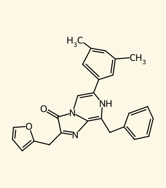 Cc1cc(C)cc(-c2cn3c(=O)c(Cc4ccco4)nc-3c(Cc3ccccc3)[nH]2)c1